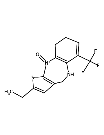 CCc1cc2c(s1)[N+](=O)C1=C(NC2)C(C(F)(F)F)=CCC1